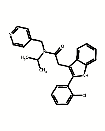 CC(C)N(Cc1ccncc1)C(=O)Cc1c(-c2ccccc2Cl)[nH]c2ccccc12